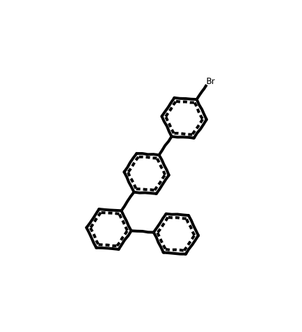 Brc1ccc(-c2ccc(-c3ccccc3-c3ccccc3)cc2)cc1